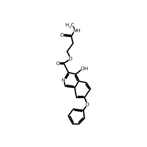 CNC(=O)CCOC(=O)c1ncc2cc(Oc3ccccc3)ccc2c1O